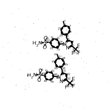 Cc1ccc(-c2cc(C(F)(F)F)nn2-c2ccc(S(N)(=O)=O)cc2)cc1.Cc1ccc(-c2cc(C(F)(F)F)nn2-c2ccc(S(N)(=O)=O)cc2)cc1